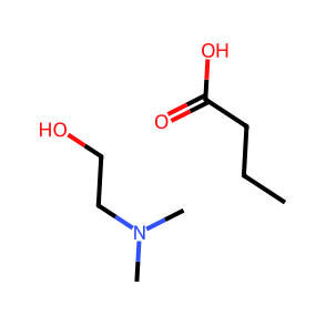 CCCC(=O)O.CN(C)CCO